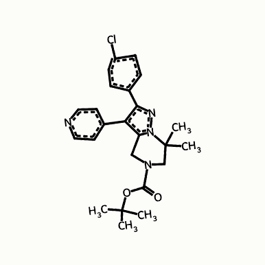 CC(C)(C)OC(=O)N1Cc2c(-c3ccncc3)c(-c3ccc(Cl)cc3)nn2C(C)(C)C1